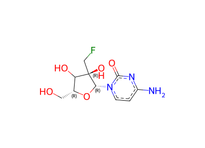 Nc1ccn([C@@H]2O[C@H](CO)C(O)[C@]2(O)CF)c(=O)n1